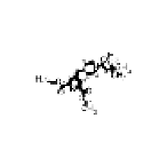 CCOC(=O)c1cc(CN2CCN(C(=O)CC(C)(C)C)CC2)cc(C(=O)OCC)n1